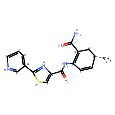 C[C@@H]1C=CC(NC(=O)c2csc(-c3cccnc3)n2)=C(C(N)=O)C1